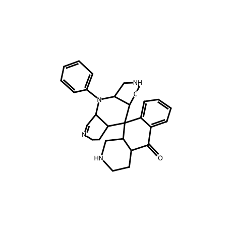 O=C1c2ccccc2C2(C3CNCCC13)C1CCN=CC1N(c1ccccc1)C1CNCCC12